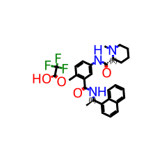 Cc1ccc(NC(=O)[C@H]2CCCCN2C)cc1C(=O)N[C@H](C)c1cccc2ccccc12.O=C(O)C(F)(F)F